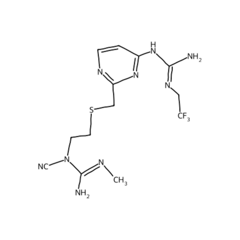 CN=C(N)N(C#N)CCSCc1nccc(NC(N)=NCC(F)(F)F)n1